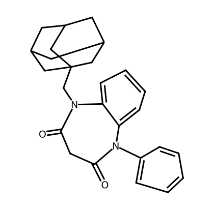 O=C1CC(=O)N(c2ccccc2)c2ccccc2N1CC12CC3CC(CC(C3)C1)C2